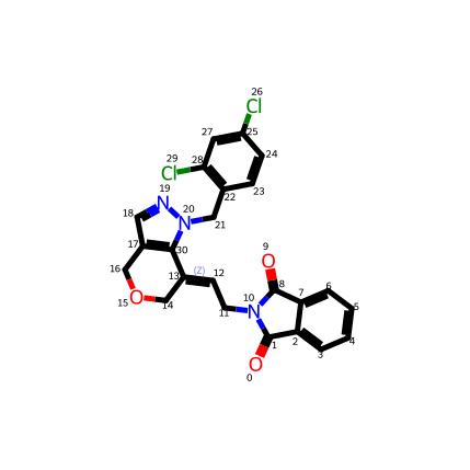 O=C1c2ccccc2C(=O)N1C/C=C1\COCc2cnn(Cc3ccc(Cl)cc3Cl)c21